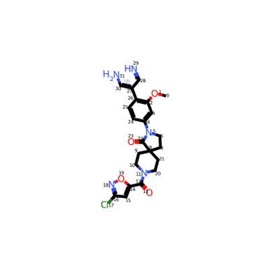 COc1cc(N2CCC3(CCN(C(=O)c4cc(Cl)no4)CC3)C2=O)ccc1/C(C=N)=C/N